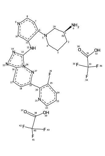 N[C@H]1CCCN(c2ccncc2Nc2nnc3ccc(-c4ncccc4F)nn23)C1.O=C(O)C(F)(F)F.O=C(O)C(F)(F)F